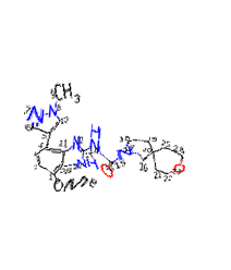 COc1ccc(-c2cnn(C)c2)c2nc(NC(=O)N3CCC4(CCOCC4)C3)[nH]c12